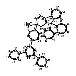 CC1(c2ccc(-c3nc(-c4ccccc4)nc(-c4ccccc4)n3)cc2)C=CC2=C(C1)C(c1ccccc1)(c1ccccc1)c1ccccc12